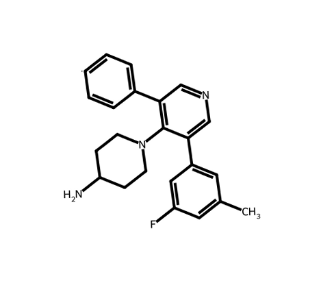 Cc1cc(F)cc(-c2cncc(-c3cc[c]cc3)c2N2CCC(N)CC2)c1